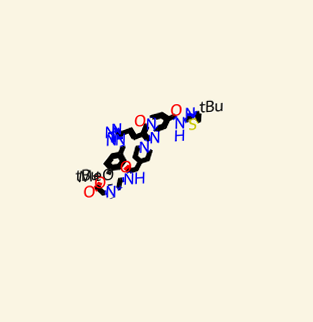 COc1ccc(Cn2nnnc2C=Cc2c(N3CCC(CC(=O)NCC[N+](C)(C)CC(=O)OC(C)(C)C)CC3)nc3cc(C(=O)Nc4nc(C(C)(C)C)cs4)ccn3c2=O)cc1